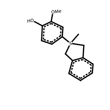 COc1cc(S2(C)Cc3c[c]ccc3C2)ccc1O